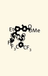 CCc1ccc(-c2ccc(C(=O)OC)cc2C)cc1-c1cnc(N2CC(F)(F)C2)nc1CN1C(=O)O[C@H](c2cc(C(F)(F)F)cc(C(F)(F)F)c2)[C@@H]1C